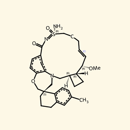 CO[C@H]1/C=C/CCC[S@](N)(=O)=NC(=O)c2ccc3c(c2)N(C[C@@H]2CC[C@H]21)C[C@@]1(CCCc2cc(C)ccc21)CO3